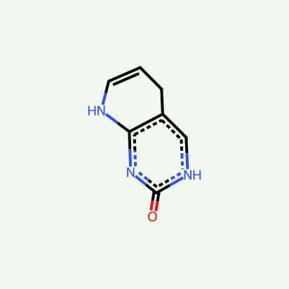 O=c1nc2c(c[nH]1)CC=CN2